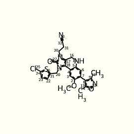 COc1cc2c(cc1-c1c(C)noc1C)NCc1c-2n(Cc2ccc(Cl)s2)c(=O)n1CCC#N